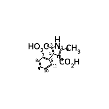 Cc1[nH]c(C(=O)O)c(-c2ccccc2)c1C(=O)O